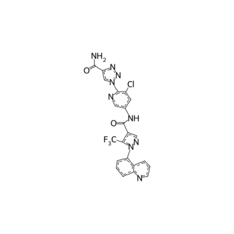 NC(=O)c1cn(-c2ncc(NC(=O)c3cnn(-c4cccc5ncccc45)c3C(F)(F)F)cc2Cl)nn1